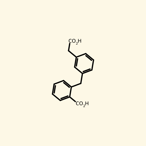 O=C(O)Cc1cccc(Cc2ccccc2C(=O)O)c1